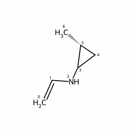 C=CNC1C[C@H]1C